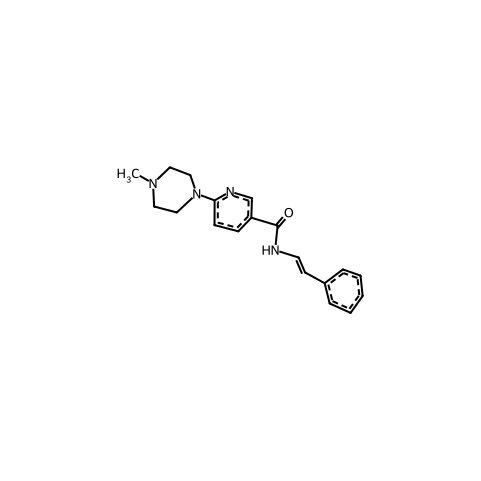 CN1CCN(c2ccc(C(=O)NC=Cc3ccccc3)cn2)CC1